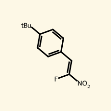 CC(C)(C)c1ccc(C=C(F)[N+](=O)[O-])cc1